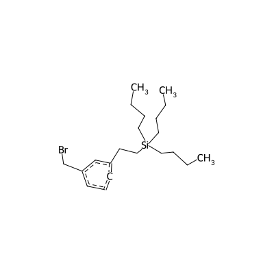 CCCC[Si](CCCC)(CCCC)CCc1cccc(CBr)c1